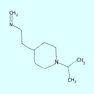 C=NCCC1CCN(C(C)C)CC1